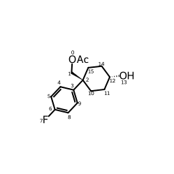 CC(=O)OC[C@]1(c2ccc(F)cc2)CC[C@@H](O)CC1